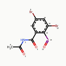 CC(=O)NC(=O)c1cc(Br)cc(Br)c1I=O